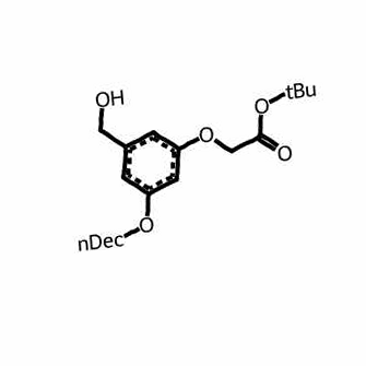 CCCCCCCCCCOc1cc(CO)cc(OCC(=O)OC(C)(C)C)c1